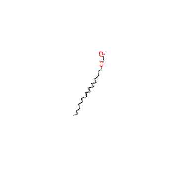 CCCCCCCCCCCCCCCCCCOCC1CO1